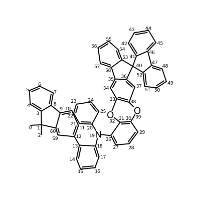 CC1(C)c2ccccc2-c2ccc(-c3ccccc3N(c3ccccc3)c3cccc4c3Oc3cc5c(cc3O4)C3(c4ccccc4-c4ccccc43)c3ccccc3-5)cc21